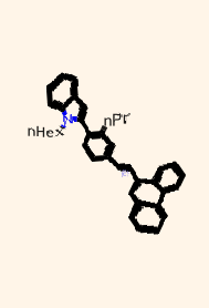 CCCCCCn1c(-c2ccc(/C=C/c3cc4ccccc4c4ccccc34)cc2CCC)cc2ccccc21